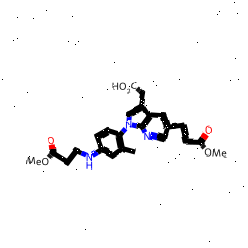 COC(=O)/C=C/c1cnc2c(c1)c(CC(=O)O)cn2-c1ccc(NCCC(=O)OC)cc1C